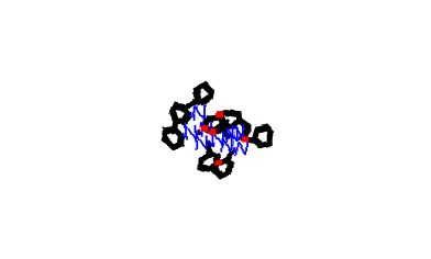 c1ccc(-c2nc(-c3ccccc3)nc(-c3ccc(-n4c5ccccc5c5ccc6c7ccccc7n(-c7nc(-c8ccccc8)nc(-c8cccc9cccnc89)n7)c6c54)cc3)n2)cc1